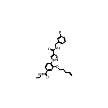 C=CCCCOc1cc(C(=O)NCC)ccc1-n1cc(C(=O)NCc2cccc(F)c2)nn1